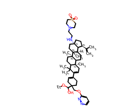 C=C(C)[C@@H]1CC[C@]2(NCCN3CCS(=O)(=O)CC3)CC[C@]3(C)[C@H](CCC4[C@@]5(C)CC=C(C6=CCC(COc7cccnn7)(C(O)OCC)CC6)C(C)(C)C5CC[C@]43C)C12